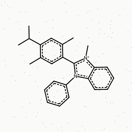 Cc1cc(C(C)C)c(C)cc1-c1n(-c2ccccc2)c2ccccc2[n+]1C